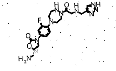 NC[C@H]1CN(c2ccc(N3CCNN(C(=O)CNCc4c[nH]nn4)CC3)c(F)c2)C(=O)O1